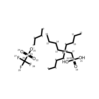 CCCC.CCCC[P+](CCCC)(CCCC)CP(=O)(O)O.O=S(=O)([O-])C(F)(F)F